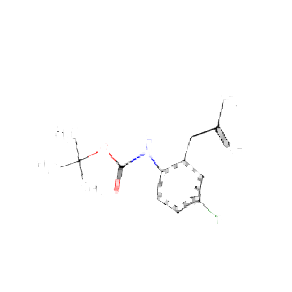 C=C(C)Cc1cc(F)ccc1NC(=O)OC(C)(C)C